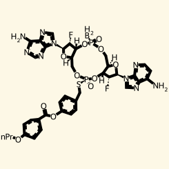 B[P@]1(=O)OC[C@H]2O[C@@H](n3cnc4c(N)ccnc43)[C@H](F)[C@@H]2O[P@@](=O)(SCc2ccc(OC(=O)c3ccc(OCCC)cc3)cc2)OC[C@H]2O[C@@H](n3cnc4c(N)ncnc43)[C@H](F)[C@@H]2O1